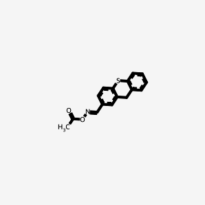 CC(=O)ON=Cc1ccc2c(c1)Cc1ccccc1S2